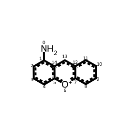 Nc1cccc2[o+]c3ccccc3cc12